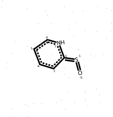 O=S=c1cccc[nH]1